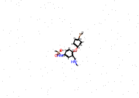 CNCc1cc(NS(C)(=O)=O)ccc1Oc1ccc(SC)cc1